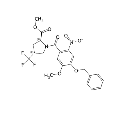 COC(=O)[C@@H]1C[C@@H](C(F)(F)F)CN1C(=O)c1cc(OC)c(OCc2ccccc2)cc1[N+](=O)[O-]